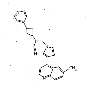 Cc1ccc2nccc(-c3cnn4cc(N5CC(c6ccncc6)C5)cnc34)c2c1